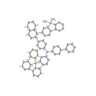 CC1(C)c2ccccc2-c2ccc(-c3c(-c4ccc(N(c5ccc(-c6ccccc6)cc5)c5ccc6c(c5)C5(c7ccccc7-c7ccccc75)c5ccccc5-6)cc4)ccc4ccccc34)cc21